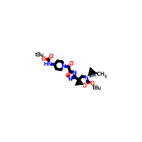 C[C@@H]1C[C@H]1N(CC1(c2noc(C(=O)N3CCC(NC(=O)OC(C)(C)C)CC3)n2)CC1)C(=O)OC(C)(C)C